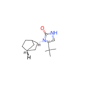 CC(C)(C)c1c[nH]c(=O)n1[C@@H]1C[C@@H]2CCC1C2